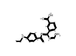 C=C(/N=C(\N=C/N)c1cccc(C(=O)O)c1)c1ccc(OCC)cc1